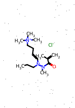 C=C(C)C(=O)N(C)N(C=CCC[N+](C)(C)C)CCC.[Cl-]